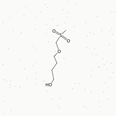 CS(=O)(=O)COCCCCO